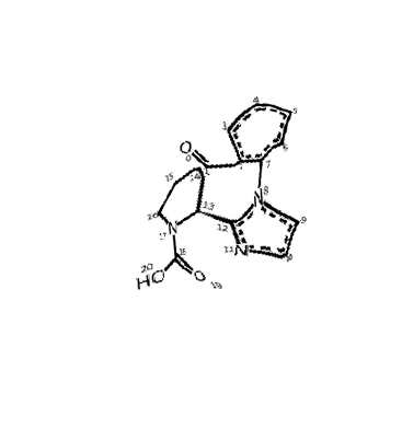 O=Cc1ccccc1-n1ccnc1[C@@H]1CCCN1C(=O)O